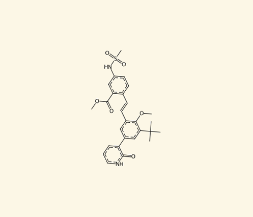 COC(=O)c1cc(NS(C)(=O)=O)ccc1C=Cc1cc(-c2ccc[nH]c2=O)cc(C(C)(C)C)c1OC